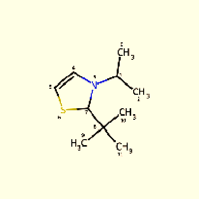 CC(C)N1C=CSC1C(C)(C)C